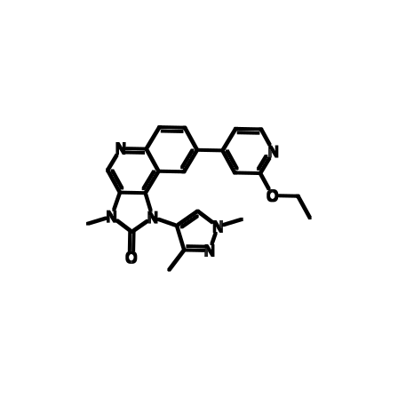 CCOc1cc(-c2ccc3ncc4c(c3c2)n(-c2cn(C)nc2C)c(=O)n4C)ccn1